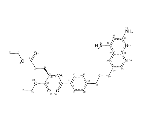 CCOC(=O)CC[C@@H](NC(=O)c1ccc(CCCc2cnc3nc(N)nc(N)c3c2)cc1)C(=O)OCC